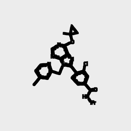 Cc1ccnc(Cn2c(-c3ccc(C(=O)NC(C)C)cc3Cl)nc3c(OC4(C)CC4)ncnc32)c1